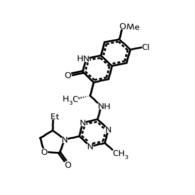 CCC1COC(=O)N1c1nc(C)nc(N[C@H](C)c2cc3cc(Cl)c(OC)cc3[nH]c2=O)n1